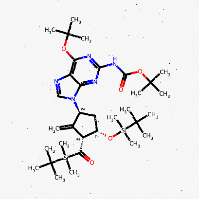 C=C1[C@@H](C(=O)[Si](C)(C)C(C)(C)C)[C@@H](O[Si](C)(C)C(C)(C)C)C[C@@H]1n1cnc2c(OC(C)(C)C)nc(NC(=O)OC(C)(C)C)nc21